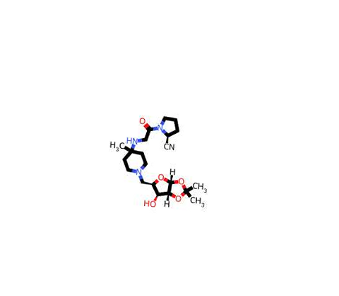 CC1(NCC(=O)N2CCC[C@H]2C#N)CCN(C[C@H]2O[C@@H]3OC(C)(C)O[C@@H]3[C@H]2O)CC1